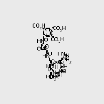 N=C(N)NCCC[C@@H]1NC(=O)[C@@H](CCCCNC(=O)CSC2CC(=O)N(CCNC(=O)CN3CCN(CC(=O)O)CCN(CC(=O)O)CCN(CC(=O)O)CC3)C2=O)NC(=O)[C@H](Cc2ccccc2)NC(O)[C@H](CC(=O)O)NC(=O)CNC1=O